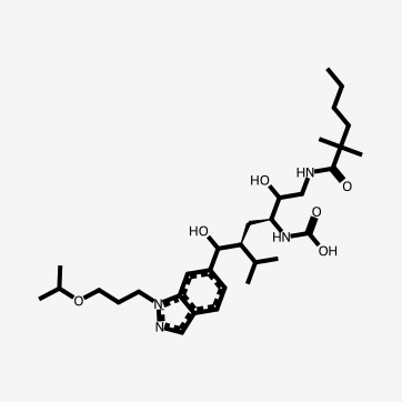 CCCCC(C)(C)C(=O)NCC(O)[C@H](C[C@@H](C(C)C)C(O)c1ccc2cnn(CCCOC(C)C)c2c1)NC(=O)O